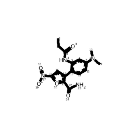 CCC(=O)Nc1cc(N(C)C)ccc1-c1cc([N+](=O)[O-])oc1C(N)=O